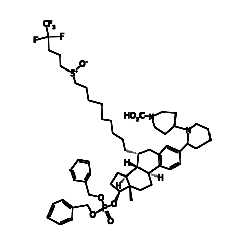 C[C@]12CC[C@@H]3c4ccc(C5CCCCN5C5CCN(C(=O)O)CC5)cc4C[C@@H](CCCCCCCCC[S+]([O-])CCCC(F)(F)C(F)(F)F)[C@H]3[C@@H]1CC[C@@H]2OP(=O)(OCc1ccccc1)OCc1ccccc1